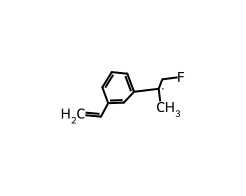 C=Cc1cccc([C](C)CF)c1